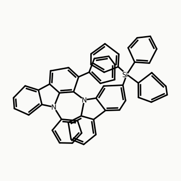 c1ccc(-c2ccc3c4ccccc4n(-c4ccccc4)c3c2-n2c3ccccc3c3ccc([Si](c4ccccc4)(c4ccccc4)c4ccccc4)cc32)cc1